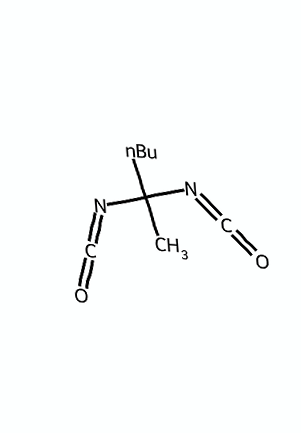 CCCCC(C)(N=C=O)N=C=O